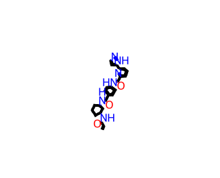 C=CC(=O)NC1CCCC(NC(=O)c2ccc(NC(=O)c3cccc(-c4ccn[nH]4)n3)cc2)C1